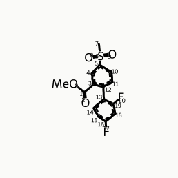 COC(=O)c1cc(S(C)(=O)=O)ccc1-c1ccc(F)cc1F